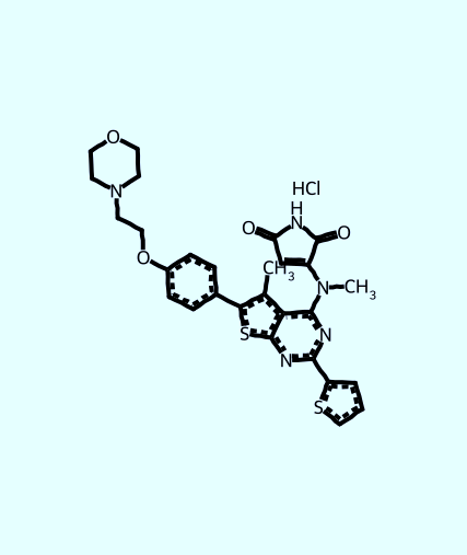 Cc1c(-c2ccc(OCCN3CCOCC3)cc2)sc2nc(-c3cccs3)nc(N(C)C3=CC(=O)NC3=O)c12.Cl